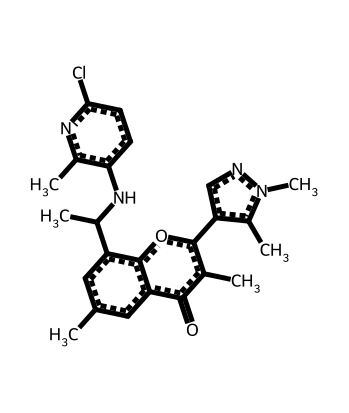 Cc1cc(C(C)Nc2ccc(Cl)nc2C)c2oc(-c3cnn(C)c3C)c(C)c(=O)c2c1